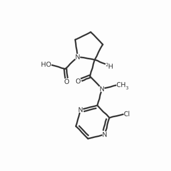 [2H]C1(C(=O)N(C)c2nccnc2Cl)CCCN1C(=O)O